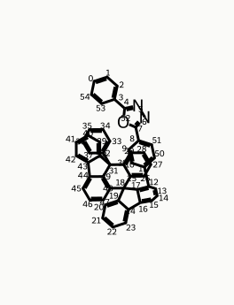 c1ccc(-c2nnc(-c3ccc(-c4cccc5c4C4(c6ccccc6-5)c5ccccc5C5(c6ccccc6)c6ccccc6-c6cccc4c65)cc3)o2)cc1